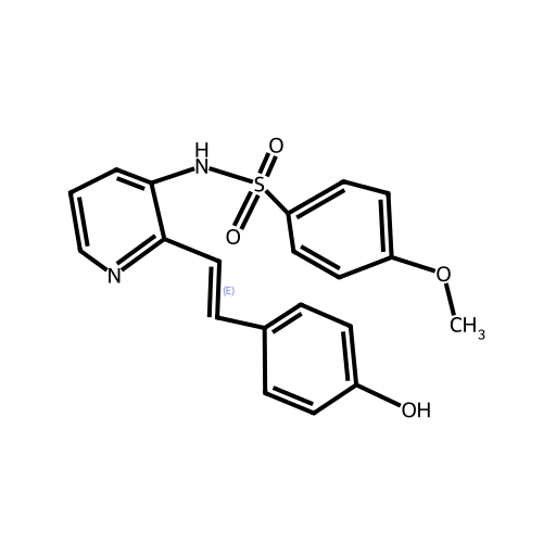 COc1ccc(S(=O)(=O)Nc2cccnc2/C=C/c2ccc(O)cc2)cc1